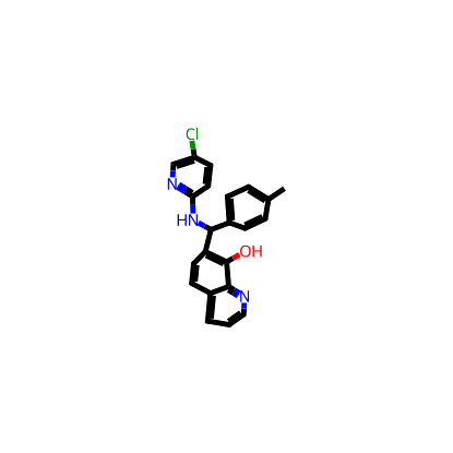 Cc1ccc(C(Nc2ccc(Cl)cn2)c2ccc3cccnc3c2O)cc1